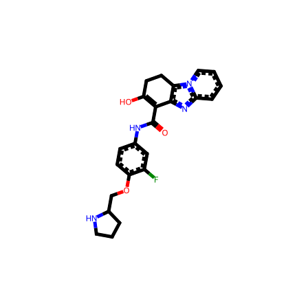 O=C(Nc1ccc(OCC2CCCN2)c(F)c1)C1=C(O)CCc2c1nc1ccccn21